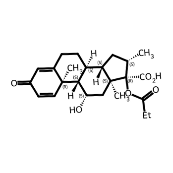 CCC(=O)O[C@]1(C(=O)O)[C@@H](C)C[C@H]2[C@@H]3CCC4=CC(=O)C=C[C@]4(C)[C@H]3[C@@H](O)C[C@@]21C